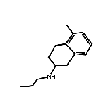 CCCNC1CCc2c(C)cccc2C1